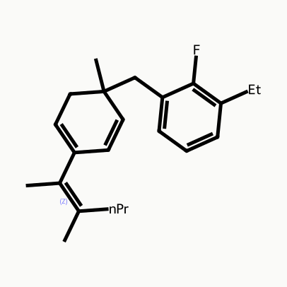 CCC/C(C)=C(/C)C1=CCC(C)(Cc2cccc(CC)c2F)C=C1